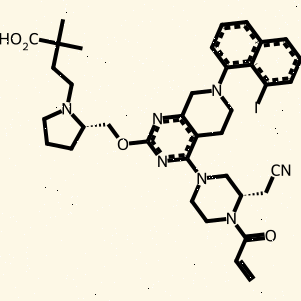 C=CC(=O)N1CCN(c2nc(OC[C@@H]3CCCN3CCC(C)(C)C(=O)O)nc3c2CCN(c2cccc4cccc(I)c24)C3)C[C@@H]1CC#N